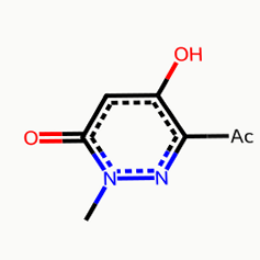 CC(=O)c1nn(C)c(=O)cc1O